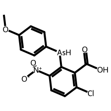 COc1ccc([AsH]c2c([N+](=O)[O-])ccc(Cl)c2C(=O)O)cc1